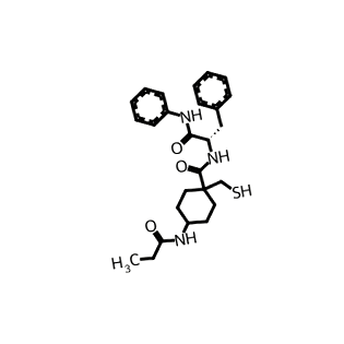 CCC(=O)NC1CCC(CS)(C(=O)N[C@@H](Cc2ccccc2)C(=O)Nc2ccccc2)CC1